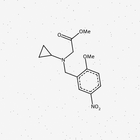 COC(=O)CN(Cc1cc([N+](=O)[O-])ccc1OC)C1CC1